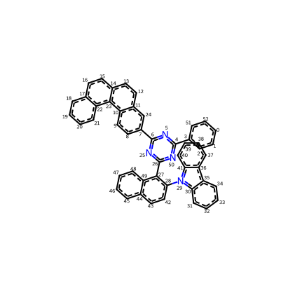 c1ccc(-c2nc(-c3ccc4c(ccc5ccc6ccccc6c54)c3)nc(-c3c(-n4c5ccccc5c5ccccc54)ccc4ccccc34)n2)cc1